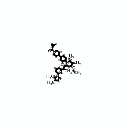 C=C(/C(=C\C=C/C(C)c1cccc(-n2ncc(C)c2C)n1)OCC)C(C)Nc1ccc(C2CCN(C(=O)C3CC3)CC2)cc1C